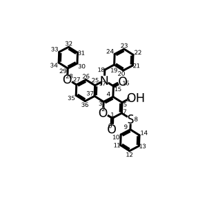 O=c1oc2c(c(O)c1Sc1ccccc1)c(=O)n(Cc1ccccc1)c1cc(Oc3ccccc3)ccc21